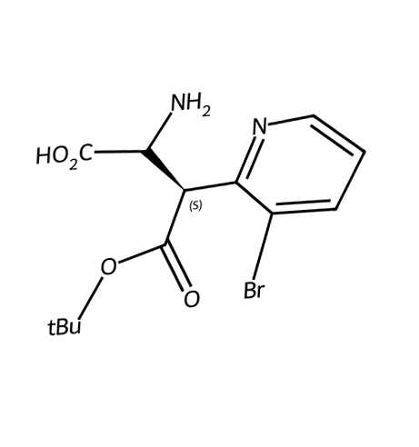 CC(C)(C)OC(=O)[C@H](c1ncccc1Br)C(N)C(=O)O